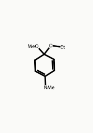 CCOC1(OC)C=CC(NC)=CC1